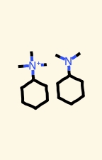 CN(C)C1CCCCC1.C[N+](C)(C)C1CCCCC1